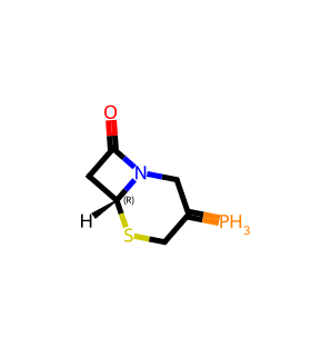 O=C1C[C@H]2SCC(=[PH3])CN12